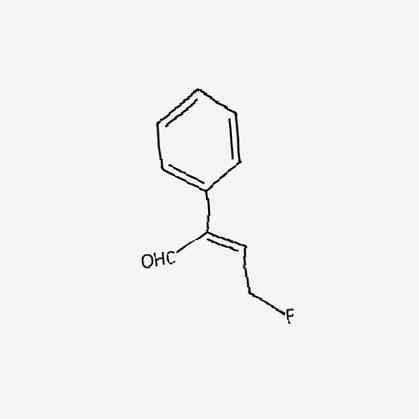 O=CC(=CCF)c1ccccc1